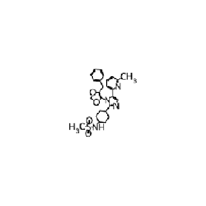 Cc1cccc(-c2cnc(C3CCC(NS(C)(=O)=O)CC3)n2C2=C(Cc3ccccc3)OCO2)n1